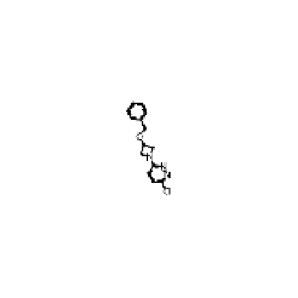 Clc1ccc(N2CC(OCc3ccccc3)C2)nn1